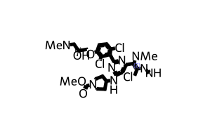 CNC[C@@H](O)COc1ccc(Cl)c(-c2nc(NC3CCN(C(=O)OC)CC3)c(Cl)c(/C(NC)=C(\C)N=N)n2)c1Cl